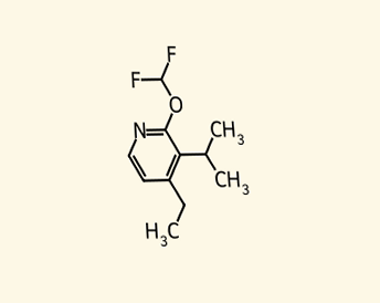 CCc1ccnc(OC(F)F)c1C(C)C